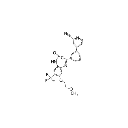 COCCOc1cc2c(cc1C(F)(F)F)NC(=O)CC(c1cccc(-c3ccnc(C#N)c3)c1)=N2